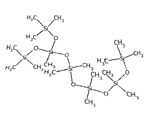 C[Si](C)(C)O[Si](C)(C)O[Si](C)(C)O[Si](C)(C)O[Si](C)(O[Si](C)(C)C)O[Si](C)(C)C